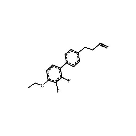 C=CCCc1ccc(-c2ccc(OCC)c(F)c2F)cc1